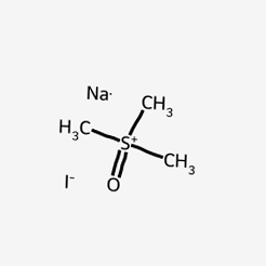 C[S+](C)(C)=O.[I-].[Na]